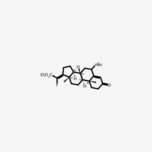 CCCCC1C[C@@H]2[C@H](CC[C@]3(C)C(=C(F)C(=O)OCC)CC[C@@H]23)[C@@]2(C)CCC(=O)C=C12